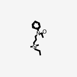 CCC[Si](C)(C)CCCN(C(C)=O)c1ccccc1